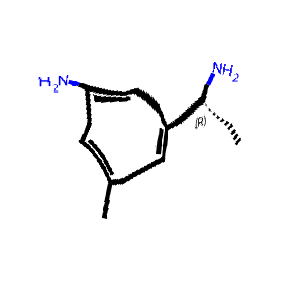 Cc1cc(N)cc([C@@H](C)N)c1